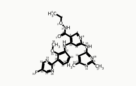 CCONC(=O)c1cnc(Nc2cc(C)nc(C)n2)cc1Nc1cccc(-c2ncc(F)cn2)c1OC